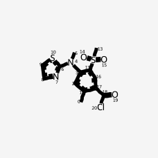 Cc1cc(N(C)c2nccs2)c(S(C)(=O)=O)cc1C(=O)Cl